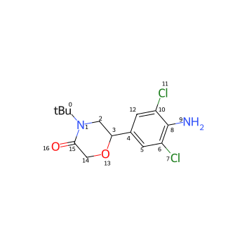 CC(C)(C)N1CC(c2cc(Cl)c(N)c(Cl)c2)OCC1=O